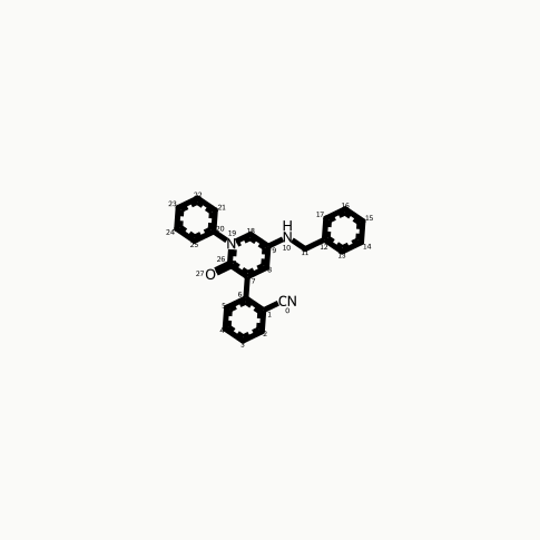 N#Cc1ccccc1-c1cc(NCc2ccccc2)cn(-c2ccccc2)c1=O